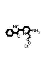 CCOOSc1nc(C(C#N)C(=O)c2ccccc2)ccc1N